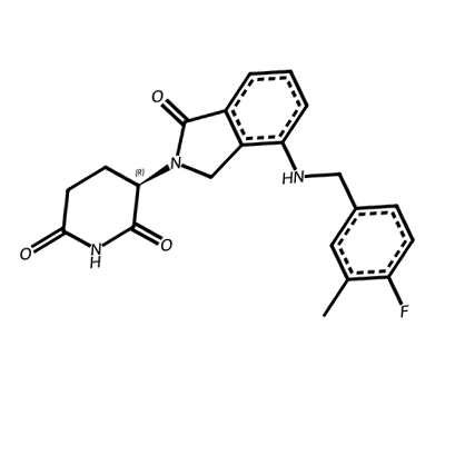 Cc1cc(CNc2cccc3c2CN([C@@H]2CCC(=O)NC2=O)C3=O)ccc1F